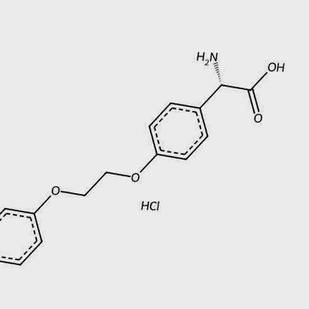 Cl.N[C@H](C(=O)O)c1ccc(OCCOc2ccccc2)cc1